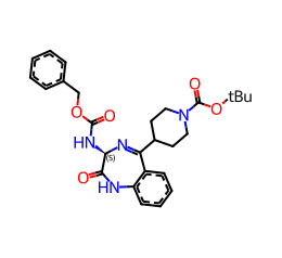 CC(C)(C)OC(=O)N1CCC(C2=N[C@H](NC(=O)OCc3ccccc3)C(=O)Nc3ccccc32)CC1